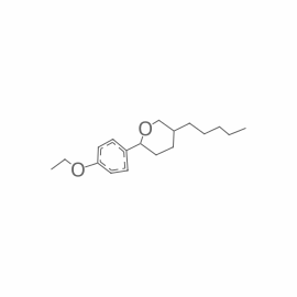 CCCCCC1CCC(c2ccc(OCC)cc2)OC1